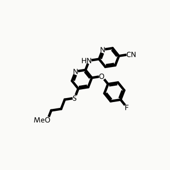 COCCCSc1cnc(Nc2ccc(C#N)cn2)c(Oc2ccc(F)cc2)c1